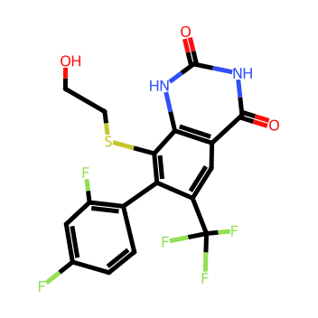 O=c1[nH]c(=O)c2cc(C(F)(F)F)c(-c3ccc(F)cc3F)c(SCCO)c2[nH]1